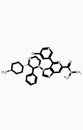 CN(C)C(=O)c1cc2ncn(N3CCOC([C@H]4CC[C@H](C)CC4)C3c3ccccc3)c2c(-c2cncc(Cl)c2)n1